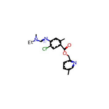 CCN(C)/C=N/c1cc(C)c(C(=O)OCc2ccc(C)cn2)cc1Cl